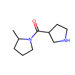 CC1CCCN1C(=O)C1CCNC1